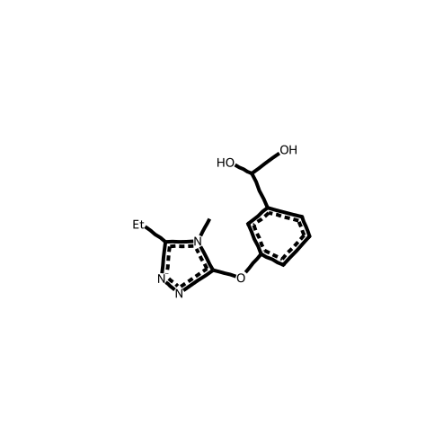 CCc1nnc(Oc2cccc(C(O)O)c2)n1C